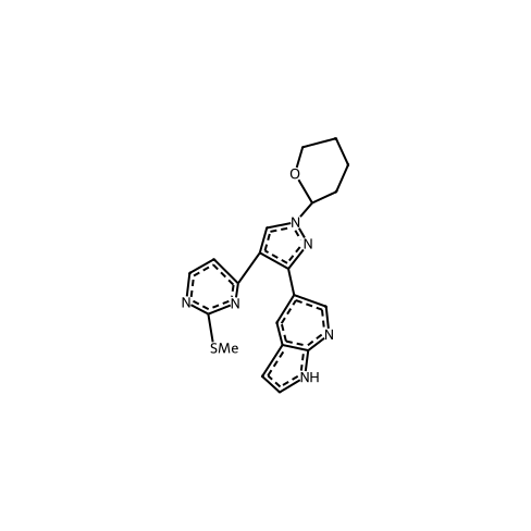 CSc1nccc(-c2cn(C3CCCCO3)nc2-c2cnc3[nH]ccc3c2)n1